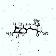 CCCNC(=O)CCC(Sc1nnn[nH]1)C1=C(C(=O)O)N2C(=O)C(N)[C@@H]2SC1